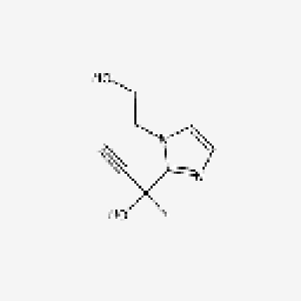 C#CC(C)(O)c1nccn1CCO